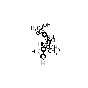 Cc1cc(Nc2ncc(Cl)c(Nc3ccc([S@@+]([O-])[C@@H](C)CCO)cc3)n2)c(OC(C)C)cc1C1CCNCC1